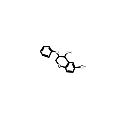 Oc1ccc2c(c1)C(O)C(Oc1ccccc1)CO2